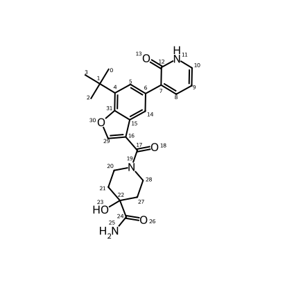 CC(C)(C)c1cc(-c2ccc[nH]c2=O)cc2c(C(=O)N3CCC(O)(C(N)=O)CC3)coc12